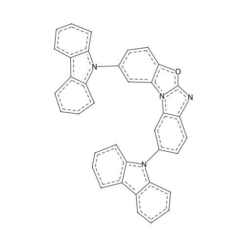 c1ccc2c(c1)c1ccccc1n2-c1ccc2nc3oc4ccc(-n5c6ccccc6c6ccccc65)cc4n3c2c1